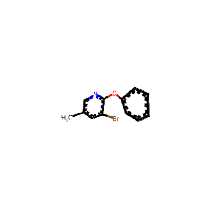 Cc1cnc(Oc2ccccc2)c(Br)c1